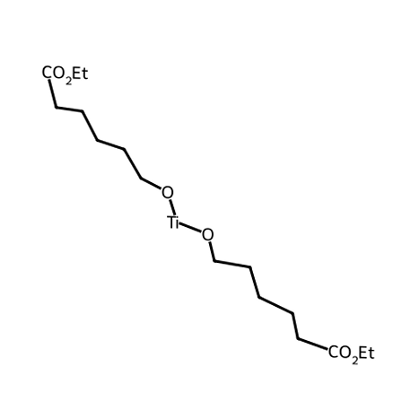 CCOC(=O)CCCCC[O][Ti][O]CCCCCC(=O)OCC